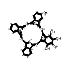 Oc1c(O)c(O)c2c3nc4nc(nc5[nH]c(nc6nc(nc([nH]3)c2c1O)-c1ccccc1-6)c1ccccc51)-c1ccccc1-4.[Os]